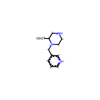 O=[C]C1CNCCN1Cc1cccnc1